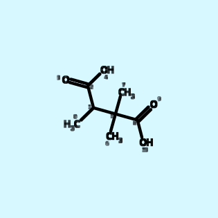 CC(C(=O)O)C(C)(C)C(=O)O